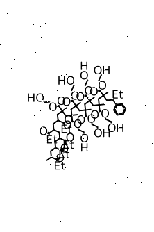 CCC(=O)C(C)CC(CC(CC(CC(CC(C)(CC(C)(CC(C)(CC(C)(CC(C)(CC(C)(CC(C)(CC(CC)c1ccccc1)C(=O)OCCO)C(=O)OCCO)C(=O)OCCO)C(=O)OCCO)C(=O)OCCO)C(=O)OCCO)C(=O)OCCO)C(=O)CC)C(=O)CC)C(=O)CC)C(=O)CC